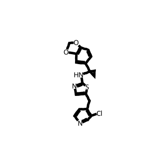 Clc1cnccc1Cc1cnc(NC2(c3ccc4c(c3)OCO4)CC2)s1